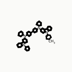 CC1CC=C(n2c3ccccc3c3cc(N(c4ccccc4)c4ccc(-c5ccc(N(c6ccccc6)c6ccc7c(c6)c6ccccc6n7-c6ccccc6)cc5)cc4)ccc32)CC1